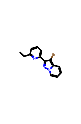 CCc1cccc(-c2nn3ccccc3c2Br)n1